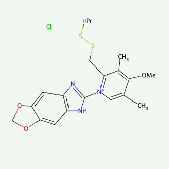 CCCSSCc1c(C)c(OC)c(C)c[n+]1-c1nc2cc3c(cc2[nH]1)OCO3.[Cl-]